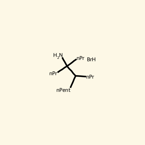 Br.CCCCCC(CCC)C(N)(CCC)CCC